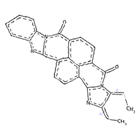 C/C=c1/nc2c3ccc4c5c(ccc(c(=O)n2/c1=C/C)c35)c(=O)n1c2ccccc2nc41